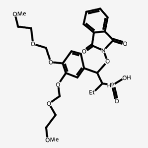 CCC(C(ON1C(=O)c2ccccc2C1=O)c1ccc(OCOCCOC)c(OCOCCOC)c1)[PH](=O)O